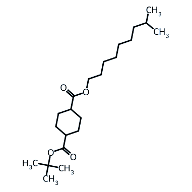 CC(C)CCCCCCCOC(=O)C1CCC(C(=O)OC(C)(C)C)CC1